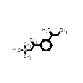 C=C(CC)c1cccc(C(=C)C[Si](C)(C)C)c1